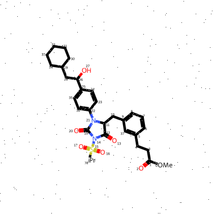 COC(=O)CCc1cccc(CC2C(=O)N(S(=O)(=O)C(C)C)C(=O)N2c2ccc(C(O)CC3CCCCC3)cc2)c1